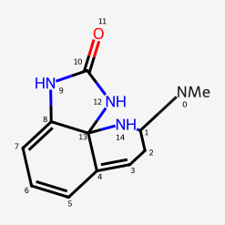 CNC1CC=C2C=CC=C3NC(=O)NC23N1